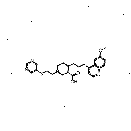 COc1ccc2nccc(CCC[C@@H]3CCN(CCSc4cncnc4)C[C@@H]3C(=O)O)c2c1